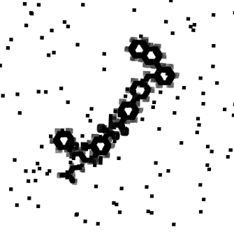 CN(C)CC[C@H](CSc1ccccc1)Nc1ccc(S(=O)(=O)NC(=O)c2ccc(N3CCN(Cc4ccccc4-c4ccc5ccccc5c4)CC3)cc2)cc1[N+](=O)[O-]